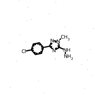 Cn1nc(-c2ccc(Cl)cc2)nc1NN